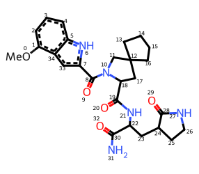 COc1cccc2[nH]c(C(=O)N3CC4(CCCC4)CC3C(=O)NC(CC3CCNC3=O)C(N)=O)cc12